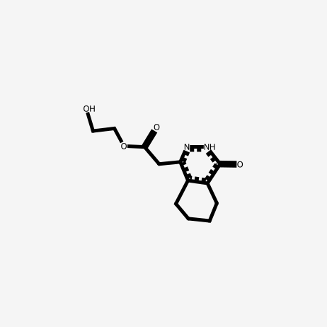 O=C(Cc1n[nH]c(=O)c2c1CCCC2)OCCO